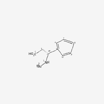 CC(C)(C)N[C@H](CC(=O)O)c1ccccc1